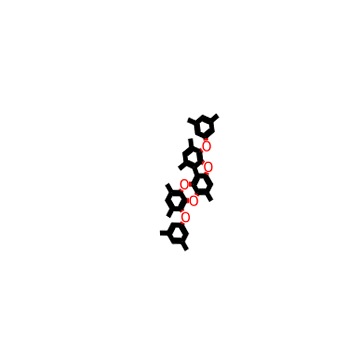 Cc1cc(C)cc(Oc2c(C)cc(C)c3c2Oc2c(C)cc4oc5c(Oc6cc(C)cc(C)c6)c(C)cc(C)c5c4c2O3)c1